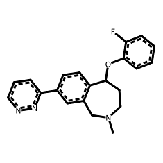 CN1CCC(Oc2ccccc2F)c2ccc(-c3cccnn3)cc2C1